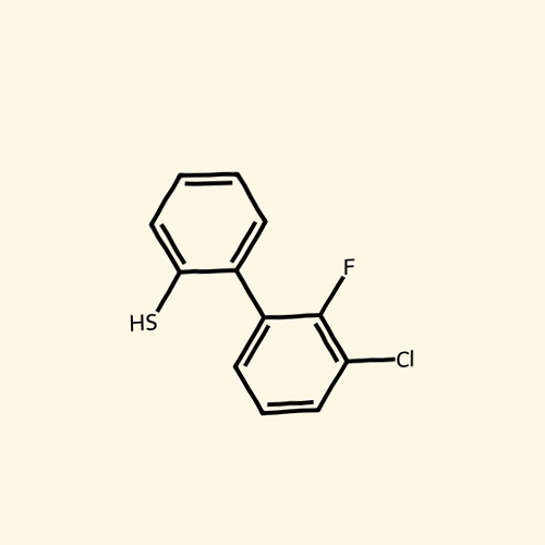 Fc1c(Cl)cccc1-c1ccccc1S